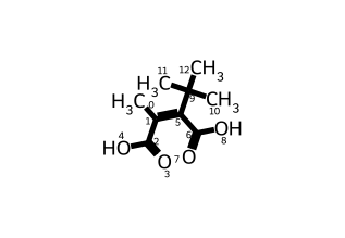 C/C(C(=O)O)=C(/C(=O)O)C(C)(C)C